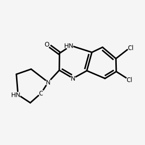 O=c1[nH]c2cc(Cl)c(Cl)cc2nc1N1CCNCC1